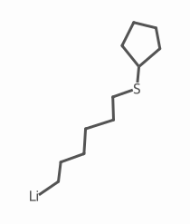 [Li][CH2]CCCCCSC1CCCC1